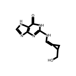 O=c1[nH]c(NC=C2CC2CO)nc2nc[nH]c12